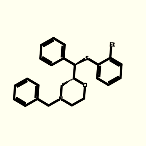 CCc1ccccc1S[C@H](c1ccccc1)[C@H]1CN(Cc2ccccc2)CCO1